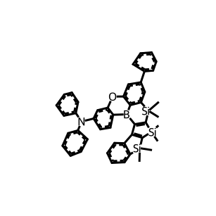 C[Si]1(C)C2=C(C3=C1[Si](C)(C)c1cc(-c4ccccc4)cc4c1B3c1ccc(N(c3ccccc3)c3ccccc3)cc1O4)c1ccccc1[Si]2(C)C